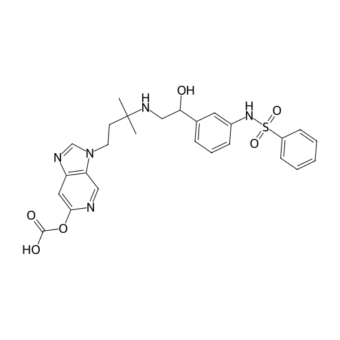 CC(C)(CCn1cnc2cc(OC(=O)O)ncc21)NCC(O)c1cccc(NS(=O)(=O)c2ccccc2)c1